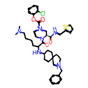 CN(C)CCCCC(NC1CCC2(CC1)CCN(Cc1ccccc1)C2)C(=O)N1CCN(C(=O)Oc2ccccc2Cl)C[C@H]1C(=O)NCc1cccs1